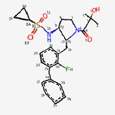 CC(C)(O)C(=O)N1CC[C@H](NS(=O)(=O)C2CC2)[C@@H]1Cc1cccc(-c2ccccc2)c1F